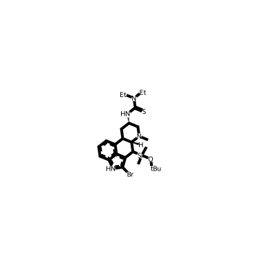 CCN(CC)C(=S)N[C@H]1CC2c3cccc4[nH]c(Br)c(c34)C([Si](C)(C)OC(C)(C)C)[C@H]2N(C)C1